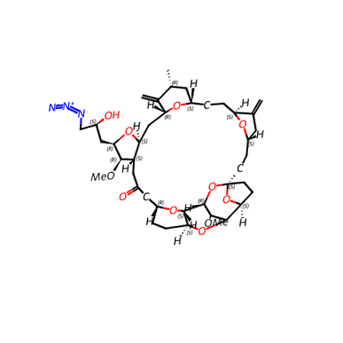 C=C1C[C@@H]2CC[C@]34CC[C@H](O3)C3O[C@H]5CC[C@H](CC(=O)C[C@@H]6[C@@H](OC)[C@@H](C[C@H](O)CN=[N+]=[N-])O[C@H]6C[C@H]6O[C@@H](CC[C@@H]1O2)C[C@@H](C)C6=C)O[C@@H]5[C@H](O4)C3OC